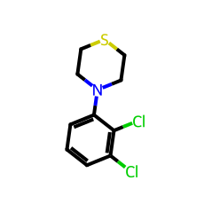 Clc1cccc(N2CCSCC2)c1Cl